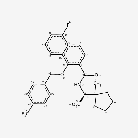 CC1([C@H](NC(=O)c2ccc3c(F)cccc3c2OCc2ccc(C(F)(F)F)cc2)C(=O)O)CCCC1